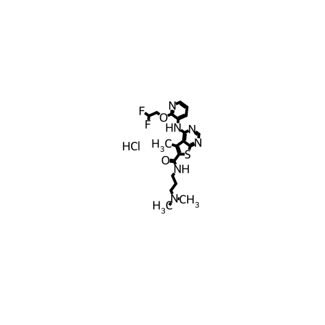 Cc1c(C(=O)NCCCN(C)C)sc2ncnc(Nc3cccnc3OCC(F)F)c12.Cl